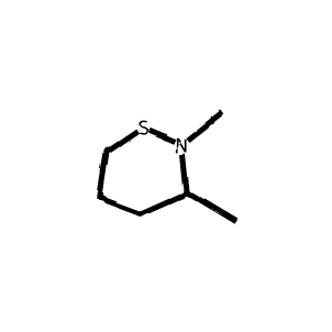 CC1CCCSN1C